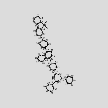 CC1(C)c2ccccc2-c2ccc(-c3ccc(-c4ccc(-c5ccc(C6=NC(c7ccccc7)=N[C@@H](c7ccccc7)C6)cc5)c5ccccc45)cc3)cc21